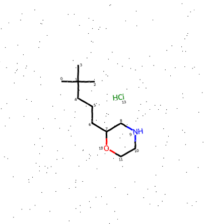 CC(C)(C)CCCC1CNCCO1.Cl